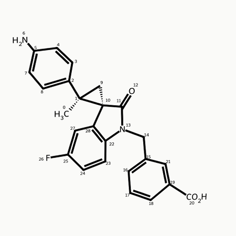 C[C@]1(c2ccc(N)cc2)C[C@@]12C(=O)N(Cc1cccc(C(=O)O)c1)c1ccc(F)cc12